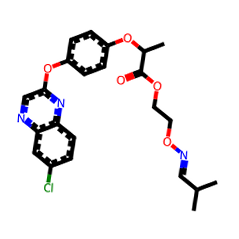 CC(C)/C=N/OCCOC(=O)C(C)Oc1ccc(Oc2cnc3cc(Cl)ccc3n2)cc1